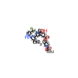 Cc1cc(Nc2cc(C(F)F)ccn2)nc(-c2ccc([C@](C)(O)[C@H]3CC[C@H](C(=O)OCC4(C(=O)O)CCN(C(=O)OC(C)(C)C)CC4)CC3)nc2)c1